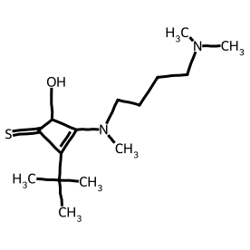 CN(C)CCCCN(C)C1=C(C(C)(C)C)C(=S)C1O